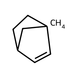 C.C1=CC2CCC1C2